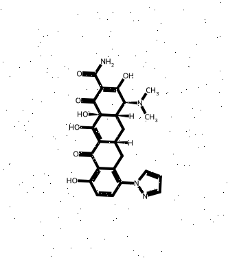 CN(C)[C@@H]1C(O)=C(C(N)=O)C(=O)[C@@]2(O)C(O)=C3C(=O)c4c(O)ccc(-n5cccn5)c4C[C@H]3C[C@@H]12